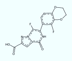 O=C(O)c1cc2c(=O)[nH]c(-c3ccc4c(c3F)OCCO4)c(F)n2n1